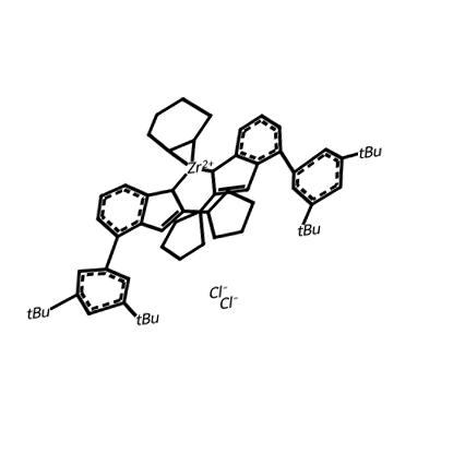 CC(C)(C)c1cc(-c2cccc3c2C=C(C2CCCC2)[CH]3[Zr+2]2([CH]3C(C4CCCC4)=Cc4c(-c5cc(C(C)(C)C)cc(C(C)(C)C)c5)cccc43)[CH]3CCCC[CH]32)cc(C(C)(C)C)c1.[Cl-].[Cl-]